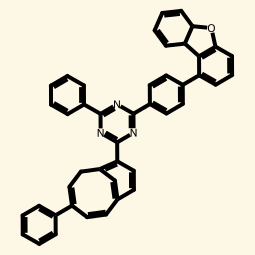 C1=CC2Oc3cccc(-c4ccc(-c5nc(-c6ccccc6)nc(-c6ccc7cc6C/C=C(c6ccccc6)\C=C/7)n5)cc4)c3C2C=C1